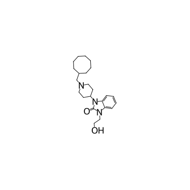 O=c1n(CCO)c2ccccc2n1C1CCN(CC2CCCCCCC2)CC1